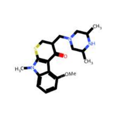 COc1cccc2c1c1c(n2C)SCC(CN2CC(C)NC(C)C2)C1=O